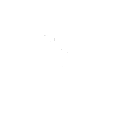 [Gd+3].[Gd+3].[Gd+3].[Gd+3].[O-2].[O-2].[O-2].[S-2].[S-2].[S-2]